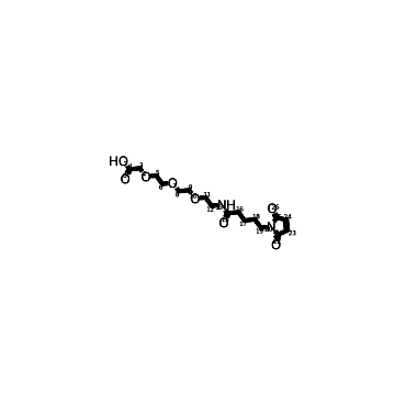 O=C(O)COCCOCCOCCNC(=O)CCCCN1C(=O)C=CC1=O